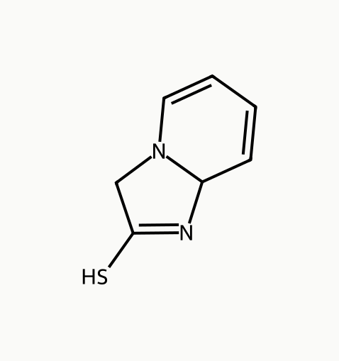 SC1=NC2C=CC=CN2C1